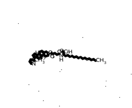 CCCCCCCCCCCCCCCCC(NC(=O)CCC(=O)O[C@H]1CC[C@@]2(C)C(=CC[C@@H]3[C@@H]2CC[C@]2(C)C(c4cccnc4)=CC[C@@H]32)C1)C(=O)O